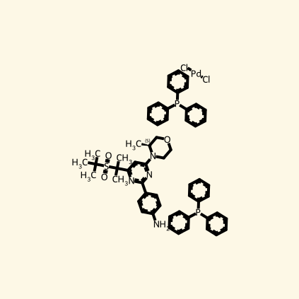 C[C@H]1COCCN1c1cc(C(C)(C)S(=O)(=O)C(C)(C)C)nc(-c2ccc(N)cc2)n1.[Cl][Pd][Cl].c1ccc(P(c2ccccc2)c2ccccc2)cc1.c1ccc(P(c2ccccc2)c2ccccc2)cc1